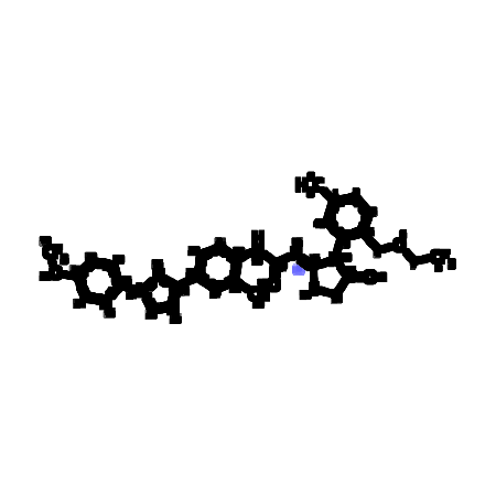 Cc1ccc(COCC(F)(F)F)c(N2C(=O)CS/C2=N\C(=O)Nc2ccc(-c3ncn(-c4ccc(OC(F)(F)F)cn4)n3)cc2C#N)c1